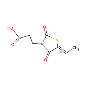 C/C=C1\SC(=O)N(CCC(=O)O)C1=O